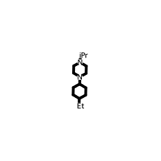 CCC1CCC(N2CCN(C(C)C)CC2)CC1